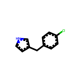 Clc1ccc([CH]c2cc[nH]c2)cc1